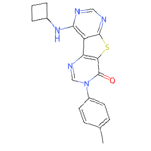 Cc1ccc(-n2cnc3c(sc4ncnc(NC5CCC5)c43)c2=O)cc1